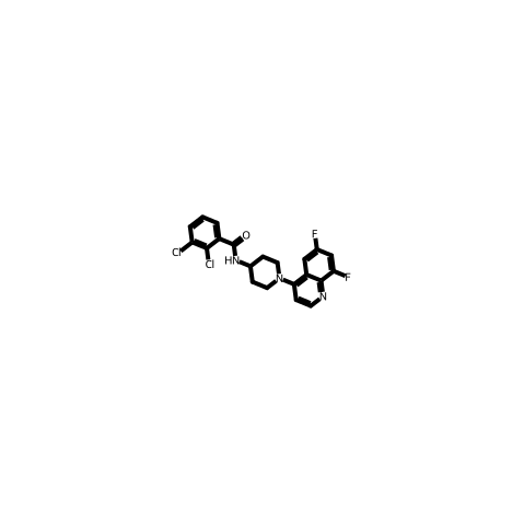 O=C(NC1CCN(c2ccnc3c(F)cc(F)cc23)CC1)c1cccc(Cl)c1Cl